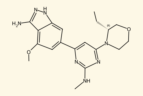 CC[C@@H]1COCCN1c1cc(-c2cc(OC)c3c(N)n[nH]c3c2)nc(NC)n1